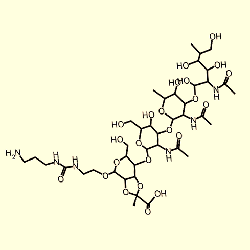 CC(=O)NC(C(O)OC1C(O)C(C)OC(OC2C(O)C(CO)OC(OC3C(CO)OC(OCCNC(=O)NCCCN)C4O[C@@](C)(C(=O)O)OC34)C2NC(C)=O)C1NC(C)=O)C(O)C(O)C(C)CO